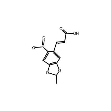 CC1Oc2cc(C=CC(=O)O)c([N+](=O)[O-])cc2O1